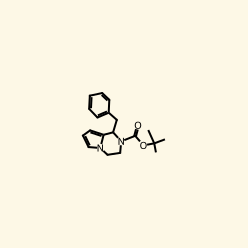 CC(C)(C)OC(=O)N1CCn2cccc2C1Cc1ccccc1